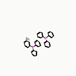 [Zn].c1ccc(P(c2ccccc2)c2ccccc2)cc1.c1ccc(P(c2ccccc2)c2ccccc2)cc1